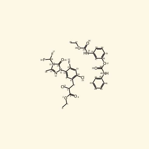 CCOC(=O)C(Cl)Cc1cc(-n2nc(C)n(C(F)F)c2=O)c(F)cc1Cl.CCOC(=O)Nc1cccc(OC(=O)Nc2ccccc2)c1